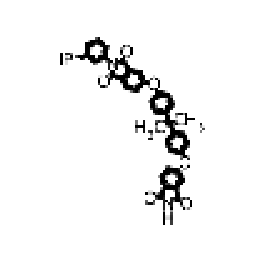 CC(C)c1cccc(N2C(=O)c3ccc(Oc4ccc(C(C)(C)c5ccc(Oc6ccc7c(c6)C(=O)NC7=O)cc5)cc4)cc3C2=O)c1